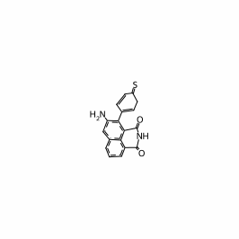 Nc1cc2cccc3c2c(c1C1=CCC(=S)C=C1)C(=O)NC3=O